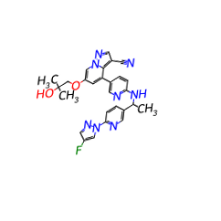 CC(Nc1ccc(-c2cc(OCC(C)(C)O)cn3ncc(C#N)c23)cn1)c1ccc(-n2cc(F)cn2)nc1